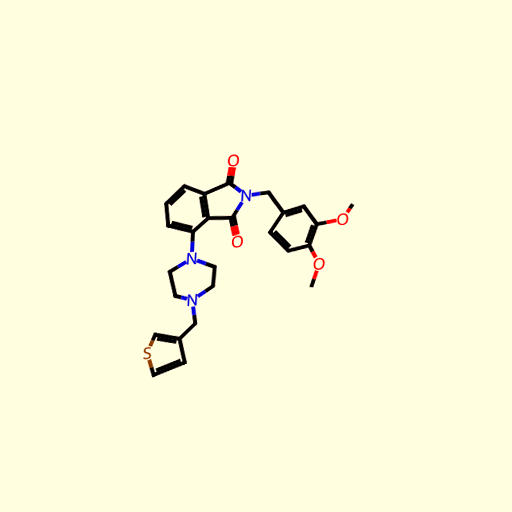 COc1ccc(CN2C(=O)c3cccc(N4CCN(Cc5ccsc5)CC4)c3C2=O)cc1OC